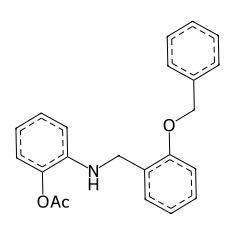 CC(=O)Oc1ccccc1NCc1ccccc1OCc1ccccc1